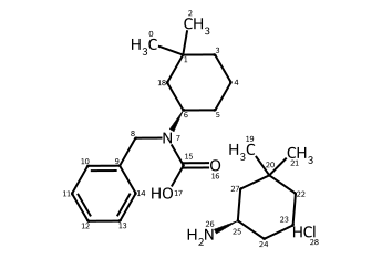 CC1(C)CCC[C@@H](N(Cc2ccccc2)C(=O)O)C1.CC1(C)CCC[C@@H](N)C1.Cl